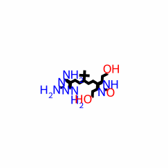 CC(C)(C)C(CCc1c(N)nc(N)nc1N)CCc1c(CCO)nc(=O)[nH]c1CCO